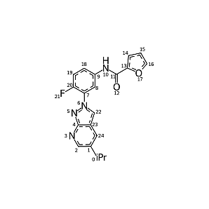 CC(C)c1cnc2nn(-c3cc(NC(=O)c4ccco4)ccc3F)cc2c1